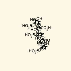 CC1[C@@H](O[C@H]2C(O)C(OS(=O)(=O)O)[C@H](O[C@@H]3C(COS(=O)(=O)O)O[C@H](C)C(C)[C@H]3O)O[C@H]2N=O)OC(COS(=O)(=O)O)[C@@H](O[C@@H]2OC(C(=O)O)[C@@H](O[C@H]3OC(COS(=O)(=O)O)[C@@H](O)[C@H](O)C3C)[C@H](C)C2O)[C@@H]1C